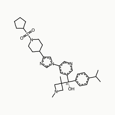 CC(C)c1ccc([C@](O)(c2cncc(-n3cnc(C4CCN(S(=O)(=O)C5CCCC5)CC4)c3)c2)C2(C)CN(C)C2)cc1